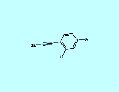 CC(C)(C)C#Cc1ccc(Br)cc1Cl